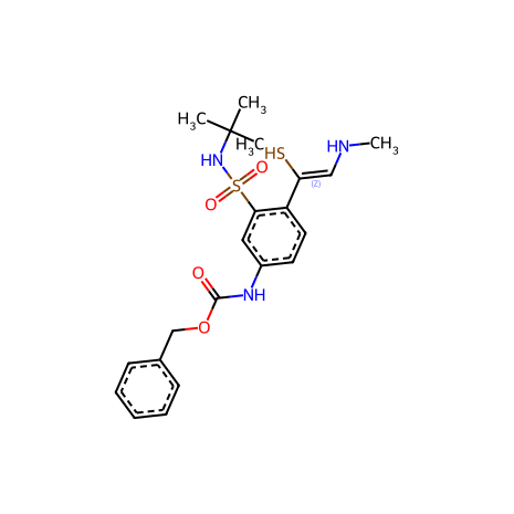 CN/C=C(\S)c1ccc(NC(=O)OCc2ccccc2)cc1S(=O)(=O)NC(C)(C)C